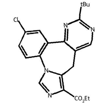 CCOC(=O)c1ncn2c1Cc1cnc(C(C)(C)C)nc1-c1cc(Cl)ccc1-2